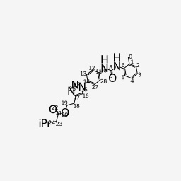 Cc1ccccc1NC(=O)Nc1ccc(-n2cc(CCOC(=O)CC(C)C)nn2)cc1